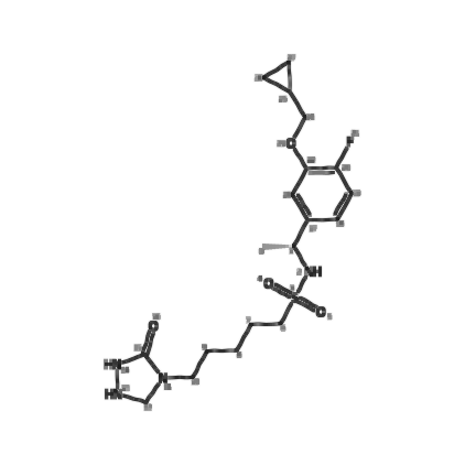 C[C@@H](NS(=O)(=O)CCCCCN1CNNC1=O)c1ccc(F)c(OCC2CC2)c1